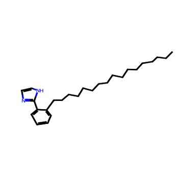 CCCCCCCCCCCCCCCCCc1ccccc1-c1ncc[nH]1